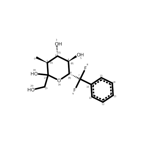 C[C@H]1[C@H](O)[C@@H](O)[C@H](C(F)(F)c2ccccc2)OC1(O)CO